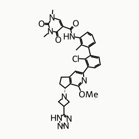 COc1nc(-c2cccc(-c3cccc(NC(=O)c4cn(C)c(=O)n(C)c4=O)c3C)c2Cl)cc2c1[C@H](N1CC(c3nnn[nH]3)C1)CC2